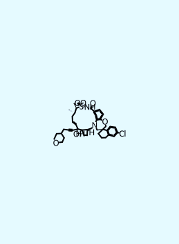 C[C@@H]1[C@@H](C)C/C=C/[C@](O)(C#CCC2CCOCC2)[C@@H]2CC[C@H]2CN2C[C@@]3(CCCc4cc(Cl)ccc43)COc3ccc(cc32)C(=O)NS1(=O)=O